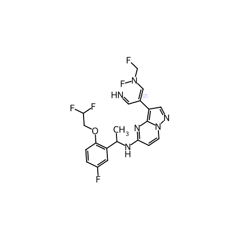 CC(Nc1ccn2ncc(/C(C=N)=C/N(F)CF)c2n1)c1cc(F)ccc1OCC(F)F